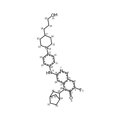 O=c1c(F)cc2cnc(Nc3ccc(N4CCC(CCCO)CC4)cc3)cc2n1C1CC2CCC1C2